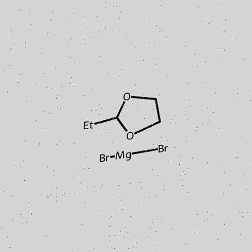 [Br][Mg][Br].[CH2]CC1OCCO1